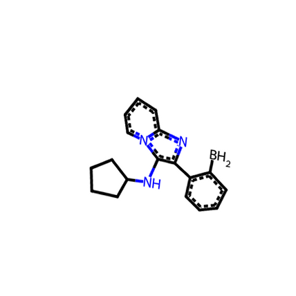 Bc1ccccc1-c1nc2ccccn2c1NC1CCCC1